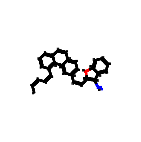 C/C=C\C=C/c1cccc2ccc3ccc(/C=C\c4oc5ccccc5c4N)cc3c12